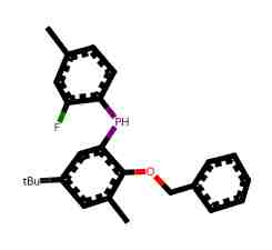 Cc1ccc(Pc2cc(C(C)(C)C)cc(C)c2OCc2ccccc2)c(F)c1